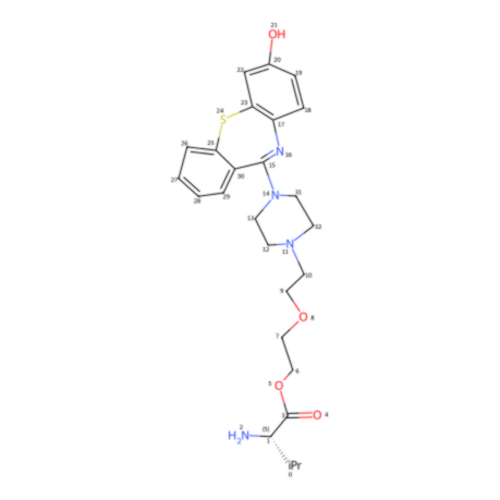 CC(C)[C@H](N)C(=O)OCCOCCN1CCN(C2=Nc3ccc(O)cc3Sc3ccccc32)CC1